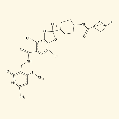 CSc1cc(C)[nH]c(=O)c1CNC(=O)c1cc(Cl)c2c(c1C)OC(C)(C1CCC(NC(=O)C34CC(F)(C3)C4)CC1)O2